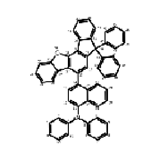 c1ccc(N(c2ccccc2)c2ccc(-c3cc4c(c5oc6ccccc6c35)-c3ccccc3C4(c3ccccc3)c3ccccc3)c3ccccc23)cc1